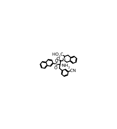 N#Cc1cccc(C[C@](N)(C(=O)N2Cc3ccccc3CC2C(=O)O)S(=O)(=O)c2ccc3ccccc3c2)c1